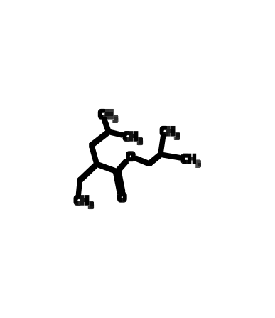 CCC(CC(C)C)C(=O)OCC(C)C